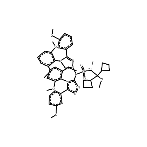 COc1cccc(C2=NN(N(c3nnc(-c4cccc(OC)n4)n3-c3c(OC)cccc3OC)S(=O)(=O)[C@H](C)C(OC)(C3CCC3)C3CCC3)CN2c2c(OC)cccc2OC)n1